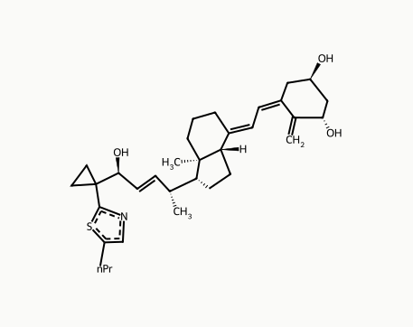 C=C1/C(=C\C=C2/CCC[C@]3(C)[C@@H]([C@H](C)C=C[C@H](O)C4(c5ncc(CCC)s5)CC4)CC[C@@H]23)C[C@@H](O)C[C@@H]1O